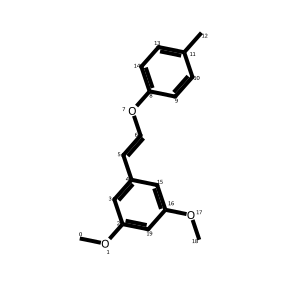 COc1cc(/C=C/Oc2ccc(C)cc2)cc(OC)c1